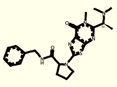 C[C@@H](c1nc2sc(N3CCCC3C(=O)NCc3ccccc3)nc2c(=O)n1C)N(C)C